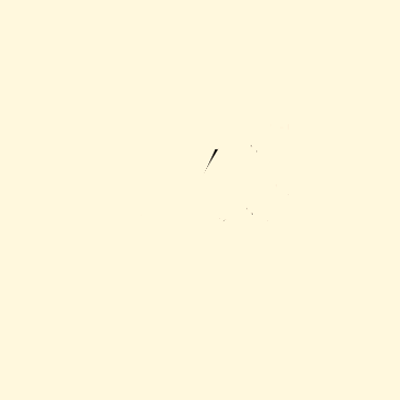 CC(C)(C)N(C[C@H](CC1CCOCC1)C(N)=O)C(=O)O